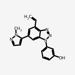 C=Cc1cc(-c2ccnn2C)cc2c1nnn2-c1cccc(O)c1